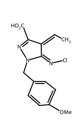 C/C=C1/C(C(=O)O)=NN(Cc2ccc(OC)cc2)/C1=N/Cl